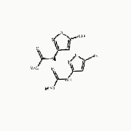 COC(=O)Nc1cc(C(C)(C)C)on1.COC(=O)Nc1cc(C(C)(C)C)on1